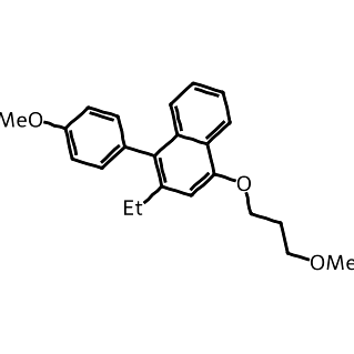 CCc1cc(OCCCOC)c2ccccc2c1-c1ccc(OC)cc1